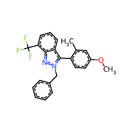 COc1ccc(-c2c3cccc(C(F)(F)F)c3nn2Cc2ccccc2)c(C)c1